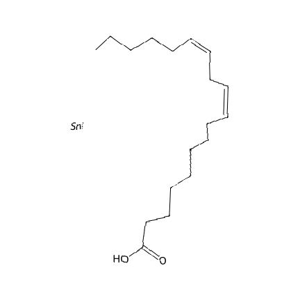 CCCCC/C=C\C/C=C\CCCCCCCC(=O)O.[Sn]